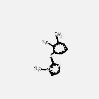 Cc1cccc(N=c2sccn2C)c1C